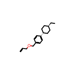 C=CCOCc1ccc([C@H]2CC[C@H](CC)CC2)cc1